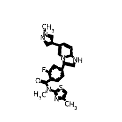 Cc1csc(N(C)C(=O)c2ccc(C3=CNC4C=CC(c5cnn(C)c5)=CN34)cc2F)n1